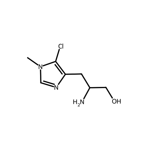 Cn1cnc(CC(N)CO)c1Cl